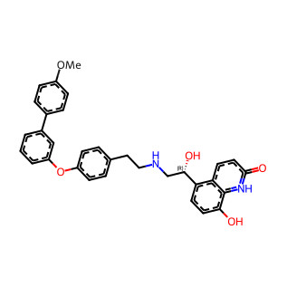 COc1ccc(-c2cccc(Oc3ccc(CCNC[C@H](O)c4ccc(O)c5[nH]c(=O)ccc45)cc3)c2)cc1